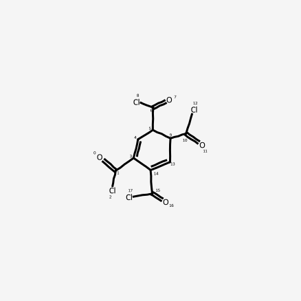 O=C(Cl)C1=CC(C(=O)Cl)C(C(=O)Cl)C=C1C(=O)Cl